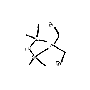 CC(C)[CH2][Al][CH2]C(C)C.C[Si](C)(C)N[Si](C)(C)C